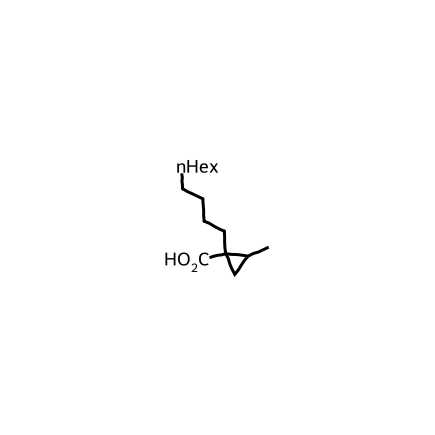 CCCCCCCCCCC1(C(=O)O)CC1C